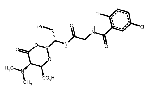 CC(C)C[C@H](NC(=O)CNC(=O)c1cc(Cl)ccc1Cl)B1OC(=O)[C@H](N(C)C)[C@H](C(=O)O)O1